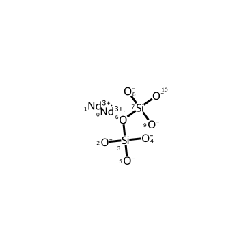 [Nd+3].[Nd+3].[O-][Si]([O-])([O-])O[Si]([O-])([O-])[O-]